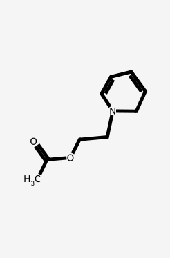 CC(=O)OCCN1C=CC=CC1